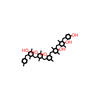 Cc1ccc(Cc2c(C)c(Cc3c(C)c(Cc4cc(C)cc(Cc5cc(C)c(O)c(Cc6cc(C)c(O)c(Cc7ccc(O)cc7)c6C)c5C)c4O)cc(C)c3O)cc(C)c2O)cc1